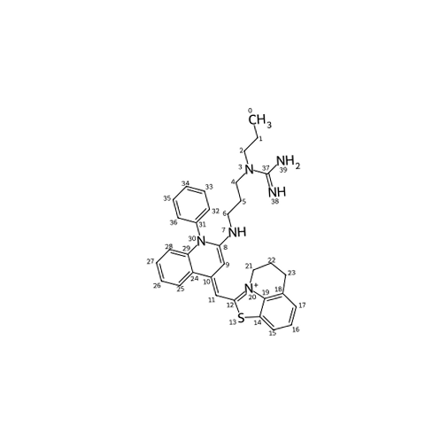 CCCN(CCCNC1=CC(=Cc2sc3cccc4c3[n+]2CCC4)c2ccccc2N1c1ccccc1)C(=N)N